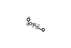 Cc1ccc(CC2(N(C)C)CCC(NC(=O)CCC(=O)NCCc3ccccc3)CC2)cc1